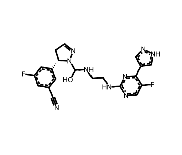 N#Cc1cc(F)cc([C@@H]2CC=NN2C(O)NCCNc2ncc(F)c(-c3cn[nH]c3)n2)c1